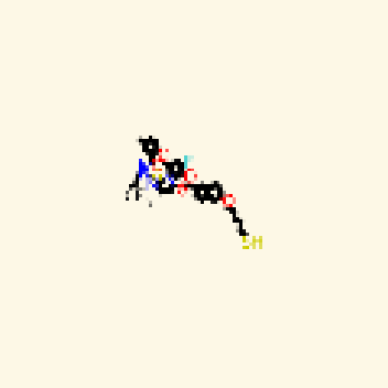 Cc1ccc(OC(=O)c2ccc(OC(=O)c3ccc4cc(OCCCCCCS)ccc4c3)c(F)c2)c(/C=N/N(CCCC(F)(F)F)c2nc3cccnc3s2)c1